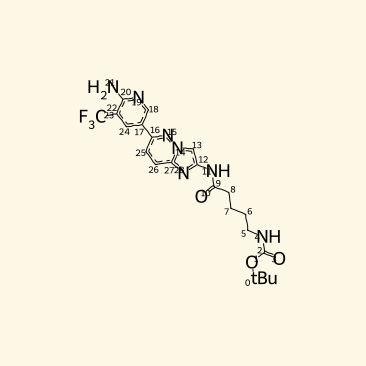 CC(C)(C)OC(=O)NCCCCC(=O)Nc1cn2nc(-c3cnc(N)c(C(F)(F)F)c3)ccc2n1